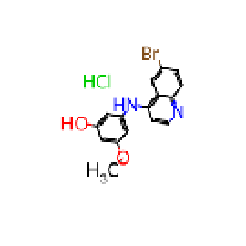 COc1cc(O)cc(Nc2ccnc3ccc(Br)cc23)c1.Cl